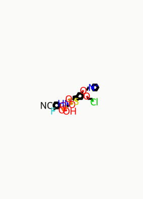 N#Cc1ccc(OP(=O)(O)CNS(=O)(=O)c2cc3cc(OCC[n+]4ccccc4)c(OCCCl)cc3s2)cc1F